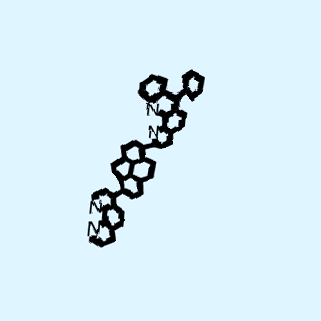 C1=CC2=C(c3ccc4ccc5c(-c6ccccc6)c6ccccc6nc5c4n3)C=CC3=CC=C4C(c5ccnc6c5ccc5cccnc56)=CC=C1C4C32